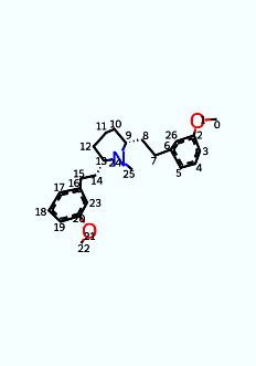 COc1cccc(CC[C@H]2CCC[C@@H](CCc3cccc(OC)c3)N2C)c1